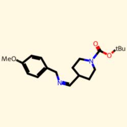 COc1ccc(C/N=C\C2CCN(C(=O)OC(C)(C)C)CC2)cc1